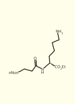 CCCCCCCCCCCC(=O)N[C@@H](CCCCN)C(=O)OCC